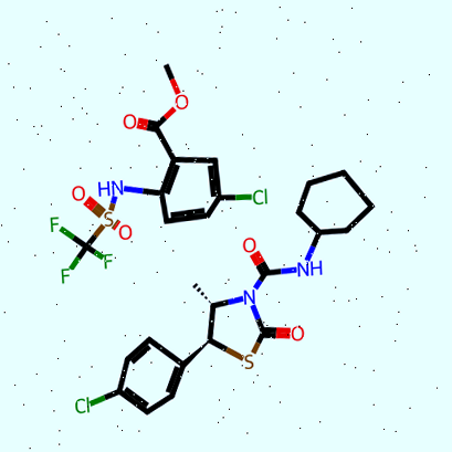 COC(=O)c1cc(Cl)ccc1NS(=O)(=O)C(F)(F)F.C[C@H]1[C@H](c2ccc(Cl)cc2)SC(=O)N1C(=O)NC1CCCCC1